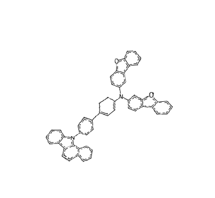 C1=C(c2ccc(-n3c4ccccc4c4ccc5ccccc5c43)cc2)CCC(N(c2ccc3c(c2)oc2ccccc23)c2ccc3oc4ccccc4c3c2)=C1